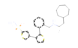 C[C@@H](CC1CCCCCC1)NCc1ccccc1-c1sccc1-c1csc(S(N)(=O)=O)c1